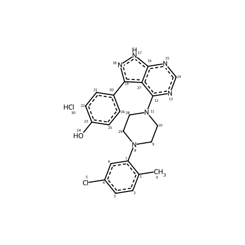 Cc1ccc(Cl)cc1N1CCN(c2ncnc3[nH]nc(-c4ccc(O)cc4)c23)CC1.Cl